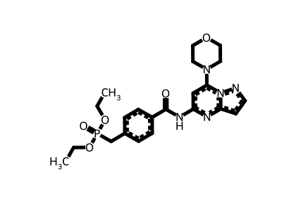 CCOP(=O)(Cc1ccc(C(=O)Nc2cc(N3CCOCC3)n3nccc3n2)cc1)OCC